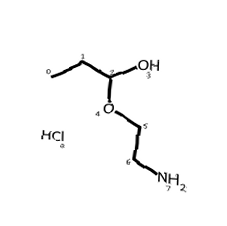 CCC(O)OCCN.Cl